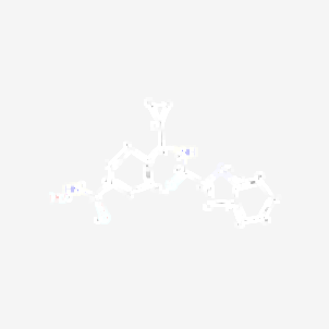 O=C(NO)c1ccc([C@@H](NC(=O)c2cc3ccccc3s2)C2CC2)cc1